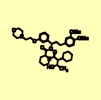 COc1ccc(CC[C@@H](OC(=O)[C@@H]2CCCCN2C(=O)[C@@H](C2CCCCC2)[C@@H](C)O)c2cccc(OCCN3CCOCC3)c2)cc1OC